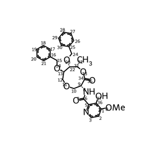 COc1ccnc(C(=O)N[C@@H]2COC[C@@H](OCc3ccccc3)[C@H](OCc3ccccc3)[C@H](C)OC2=O)c1O